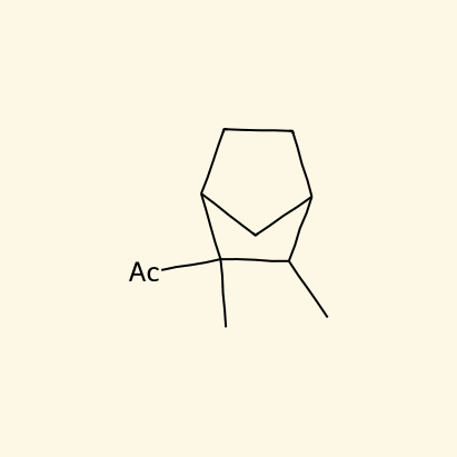 CC(=O)C1(C)C2CCC(C2)C1C